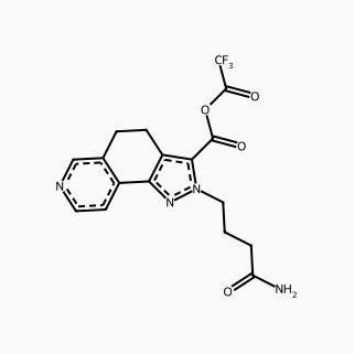 NC(=O)CCCn1nc2c(c1C(=O)OC(=O)C(F)(F)F)CCc1cnccc1-2